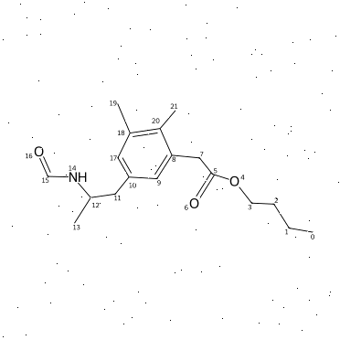 CCCCOC(=O)Cc1cc(CC(C)NC=O)cc(C)c1C